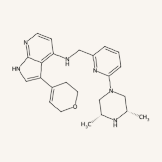 C[C@@H]1CN(c2cccc(CNc3ccnc4[nH]cc(C5=CCOCC5)c34)n2)C[C@H](C)N1